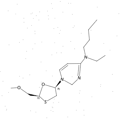 CCCCN(CC)C1=NCN([C@H]2CS[C@@H](COC)O2)C=C1